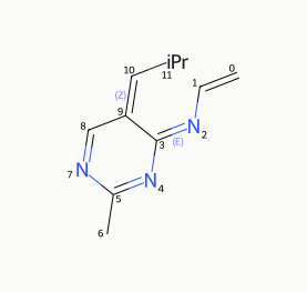 C=C/N=C1/N=C(C)N=C/C1=C/C(C)C